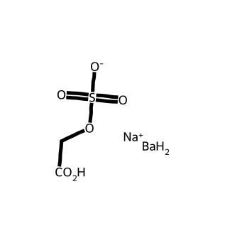 O=C(O)COS(=O)(=O)[O-].[BaH2].[Na+]